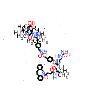 CNC(C(=O)N[C@H](C(=O)N(C)[C@H](/C=C(\C)C(=O)O)C(C)C)C(C)(C)C)C(C)(C)c1ccc(CNC(=O)OCc2ccc(NC(=O)[C@H](CCCNC(N)=O)NC(=O)[C@@H](NC(=O)CCC(=O)N3Cc4ccccc4/C=C\c4ccccc43)C(C)C)cc2)cc1